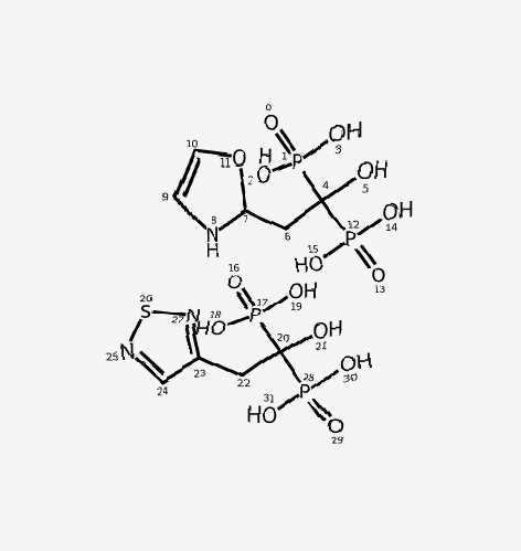 O=P(O)(O)C(O)(CC1NC=CO1)P(=O)(O)O.O=P(O)(O)C(O)(Cc1cnsn1)P(=O)(O)O